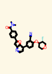 CN(C)C(=O)c1ccc(-c2cc3nccc(-c4ccc(OC5CCOC[C@H]5F)c(C#N)c4)c3o2)cc1